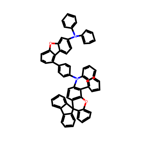 c1ccc(-c2c(N(c3ccccc3)c3ccc(-c4cccc5oc6cc(N(c7ccccc7)c7ccccc7)ccc6c45)cc3)ccc3c2Oc2ccccc2C32c3ccccc3-c3ccccc32)cc1